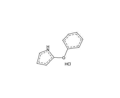 Cl.c1ccc(Oc2ccc[nH]2)cc1